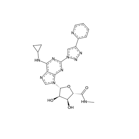 CNC(=O)[C@H]1O[C@@H](n2cnc3c(NC4CC4)nc(-n4cc(-c5ccccn5)nn4)nc32)[C@H](O)[C@@H]1O